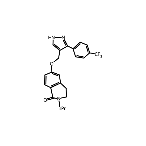 CCCN1CCc2cc(OCc3c[nH]nc3-c3ccc(C(F)(F)F)cc3)ccc2C1=O